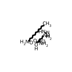 CCCCCCCCCCCC(N)=O.Cl.N=C(N)NCCC[C@H](N)C(=O)O